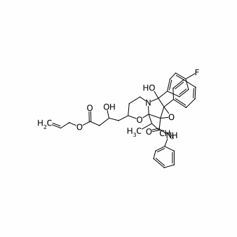 C=CCOC(=O)CC(O)CC1CCN2C(O)(c3ccc(F)cc3)C3(c4ccccc4)OC3(C(=O)Nc3ccccc3)C2(C(C)C)O1